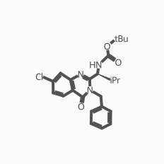 CC(C)[C@H](NC(=O)OC(C)(C)C)c1nc2cc(Cl)ccc2c(=O)n1Cc1ccccc1